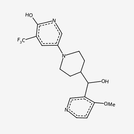 COc1ccncc1C(O)C1CCN(c2cnc(O)c(C(F)(F)F)c2)CC1